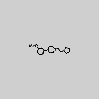 COC1=CC(N2CCN(CCN3CCCC3)CC2)=CC[CH]1